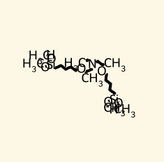 CCN(CC(C)OCCCCC[SiH](OC)OC)CC(C)OCCCCC[SiH](OC)OC